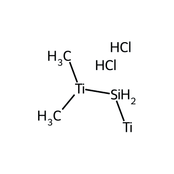 Cl.Cl.[CH3][Ti]([CH3])[SiH2][Ti]